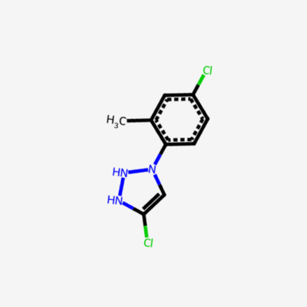 Cc1cc(Cl)ccc1N1C=C(Cl)NN1